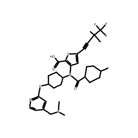 CC1CCC(C(=O)N(c2cc(C#CC(C)(C)C(F)(F)F)sc2C(=O)O)C2CCC(Oc3cc(CN(C)C)ccn3)CC2)CC1